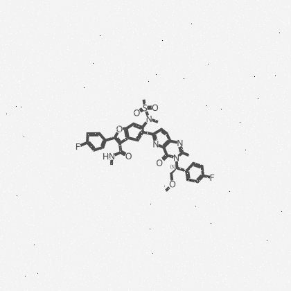 CNC(=O)c1c(-c2ccc(F)cc2)oc2cc(N(C)S(C)(=O)=O)c(-c3ccc4nc(C)n([C@H](COC)c5ccc(F)cc5)c(=O)c4n3)cc12